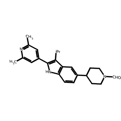 Cc1cc(-c2[nH]c3ccc(C4CCN(C=O)CC4)cc3c2C(C)C)cc(C)n1